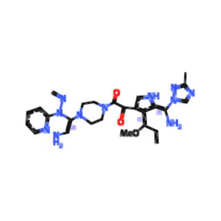 C=C/C(OC)=c1/c(C(=O)C(=O)N2CCN(/C(=C/N)N(N=C)c3ccccn3)CC2)c[nH]/c1=C(/N)n1cnc(C)n1